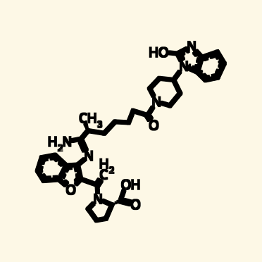 C=C(c1oc2ccccc2c1/N=C(\N)[C@@H](C)CCCCC(=O)N1CCC(n2c(O)nc3ccccc32)CC1)N1CCC[C@H]1C(=O)O